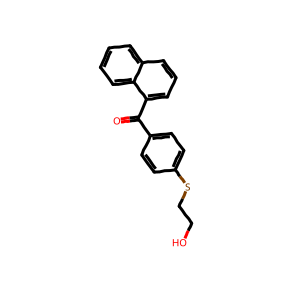 O=C(c1ccc(SCCO)cc1)c1cccc2ccccc12